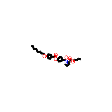 CCCCCCCCOc1ccc(C(=O)Oc2ccc(C(=O)N3CCC[C@H]3C(=O)OCCCC)cc2)cc1